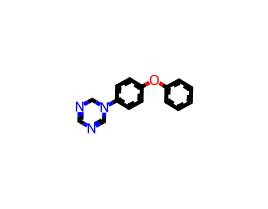 C1=NC=NCN1c1ccc(Oc2ccccc2)cc1